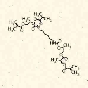 C=C(C)C(=O)OC=C(C)C(=O)OCC(C)OC(=O)NCCCCCCN(OC(=O)C(=C)C)C(=O)OC(C)COC(=O)C(=C)C